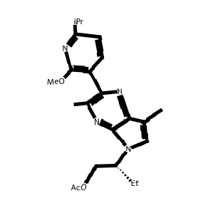 CC[C@H](COC(C)=O)n1cc(C)c2nc(-c3ccc(C(C)C)nc3OC)c(C)nc21